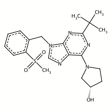 CC(C)(C)c1nc(N2CC[C@H](O)C2)c2ncn(Cc3ccccc3S(C)(=O)=O)c2n1